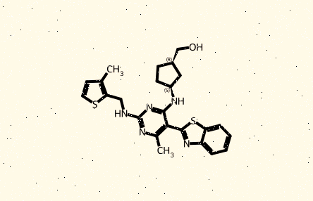 Cc1ccsc1CNc1nc(C)c(-c2nc3ccccc3s2)c(N[C@H]2CC[C@@H](CO)C2)n1